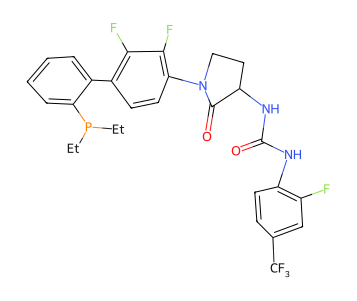 CCP(CC)c1ccccc1-c1ccc(N2CCC(NC(=O)Nc3ccc(C(F)(F)F)cc3F)C2=O)c(F)c1F